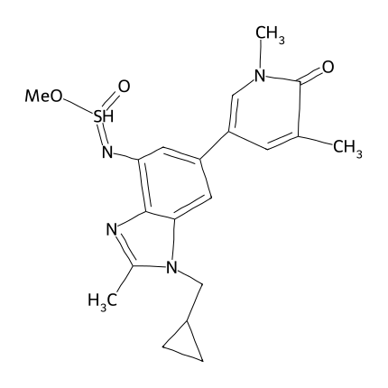 CO[SH](=O)=Nc1cc(-c2cc(C)c(=O)n(C)c2)cc2c1nc(C)n2CC1CC1